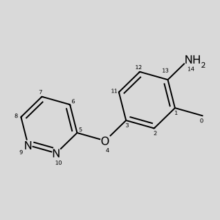 Cc1cc(Oc2cccnn2)ccc1N